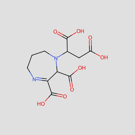 O=C(O)CC(C(=O)O)N1CCCN=C(C(=O)O)C1C(=O)O